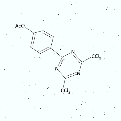 CC(=O)Oc1ccc(-c2nc(C(Cl)(Cl)Cl)nc(C(Cl)(Cl)Cl)n2)cc1